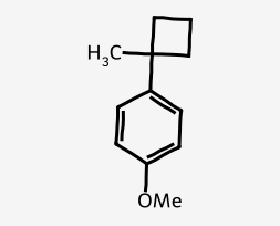 COc1ccc(C2(C)CCC2)cc1